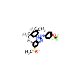 C[S+]([O-])c1ccc2c(c1)nc(Nc1ccc(OC(F)(F)F)cc1)n2C1CC(C)(C)CC(C)(C)C1